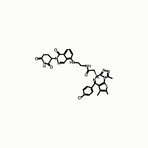 Cc1sc2c(c1C)C(c1ccc(Cl)cc1)=N[C@@H](CC(=O)NCCNc1cccc3c(=O)n(C4CCC(=O)NC4=O)ncc13)c1nnc(C)n1-2